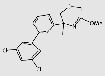 COC1=NC(C)(c2cccc(-c3cc(Cl)cc(Cl)c3)c2)COC1